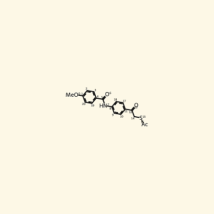 COc1ccc(C(=O)Nc2ccc(C(=O)CSC(C)=O)cc2)cc1